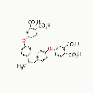 CC(Cc1ccc(Oc2ccc(C(=O)O)c(C(=O)O)c2)cc1)c1ccc(Oc2ccc(C(=O)O)c(C(=O)O)c2)cc1